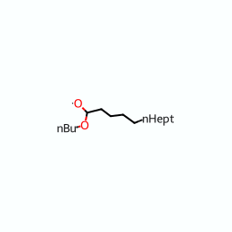 CCCCCCCCCCCC([O])OCCCC